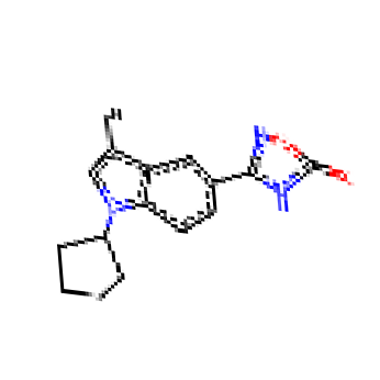 N#Cc1cn(C2CCCC2)c2ccc(-c3noc(=O)[nH]3)cc12